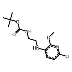 COc1nc(Cl)ccc1NCCNC(=O)OC(C)(C)C